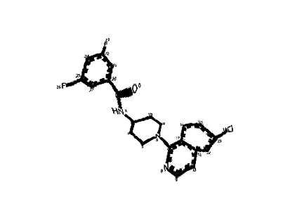 O=C(NC1CCN(c2nccc3cc(Cl)ccc23)CC1)c1cc(F)cc(F)c1